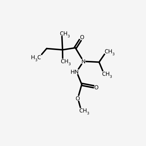 CCC(C)(C)C(=O)N(NC(=O)OC)C(C)C